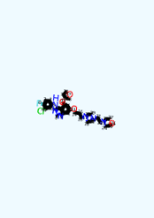 Fc1ccc(Nc2ncnc3cc(OCCCN4CCN(CCN5CCOCC5)CC4)cc(OC4CCOC4)c23)cc1Cl